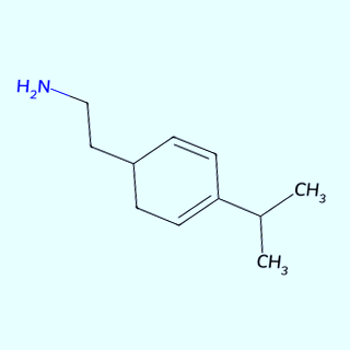 CC(C)C1=CCC(CCN)C=C1